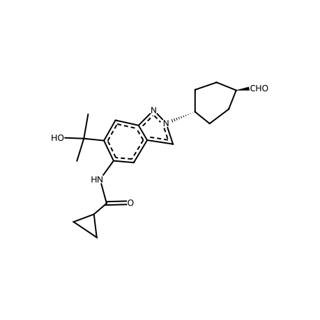 CC(C)(O)c1cc2nn([C@H]3CC[C@H](C=O)CC3)cc2cc1NC(=O)C1CC1